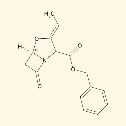 CC=C1O[C@@H]2CC(=O)N2C1C(=O)OCc1ccccc1